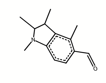 Cc1c(C=O)ccc2c1C(C)C(C)N2C